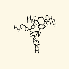 CCOC(=O)c1sc(N2CCNCC2)nc1-c1ccc2c(c1)C(C)(C)CCC2(C)C